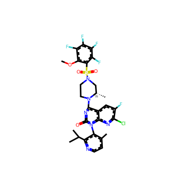 COc1c(F)c(F)c(F)c(F)c1S(=O)(=O)N1CCN(c2nc(=O)n(-c3c(C)ccnc3C(C)C)c3nc(Cl)c(F)cc23)[C@@H](C)C1